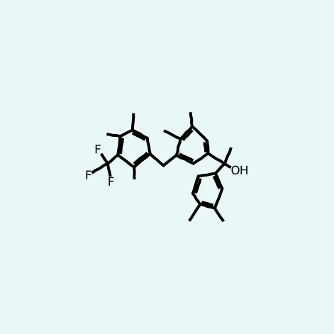 Cc1ccc(C(C)(O)c2cc(C)c(C)c(Cc3cc(C)c(C)c(C(F)(F)F)c3C)c2)cc1C